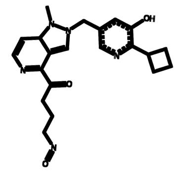 CN1C2C=CN=C(C(=O)CCCN=O)C2=CN1Cc1cnc(C2CCC2)c(O)c1